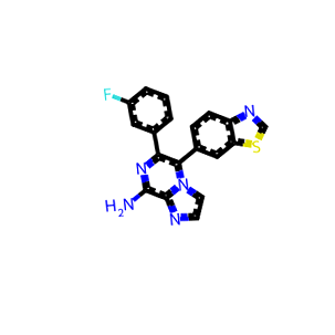 Nc1nc(-c2cccc(F)c2)c(-c2ccc3ncsc3c2)n2ccnc12